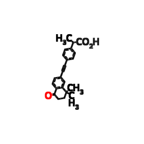 CC(C(=O)O)c1ccc(C#Cc2ccc3c(c2)C(C)(C)CCC3=O)cc1